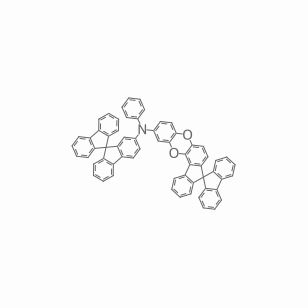 c1ccc(N(c2ccc3c(c2)Oc2c(ccc4c2-c2ccccc2C42c4ccccc4-c4ccccc42)O3)c2ccc3c(c2)C2(c4ccccc4-c4ccccc42)c2ccccc2-3)cc1